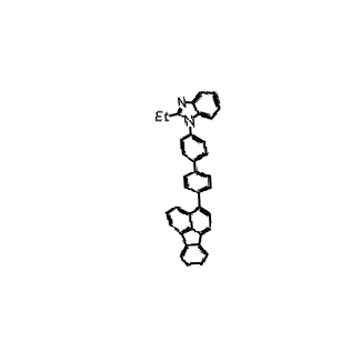 CCc1nc2ccccc2n1-c1ccc(-c2ccc(-c3ccc4c5c(cccc35)C3=CCCC=C34)cc2)cc1